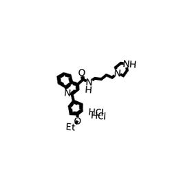 CCOc1ccc(-c2cc(C(=O)NCCCCN3CCNCC3)c3ccccc3n2)cc1.Cl.Cl